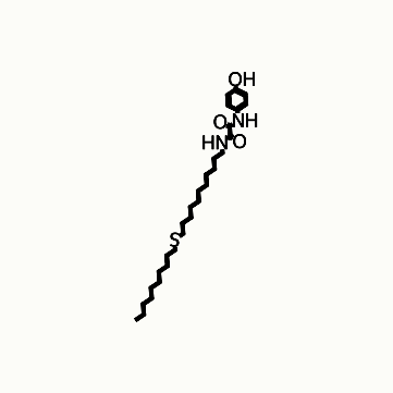 CCCCCCCCCCSCCCCCCCCCCCNC(=O)C(=O)Nc1ccc(O)cc1